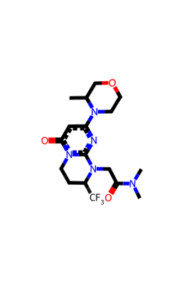 CC1COCCN1c1cc(=O)n2c(n1)N(CC(=O)N(C)C)C(C(F)(F)F)CC2